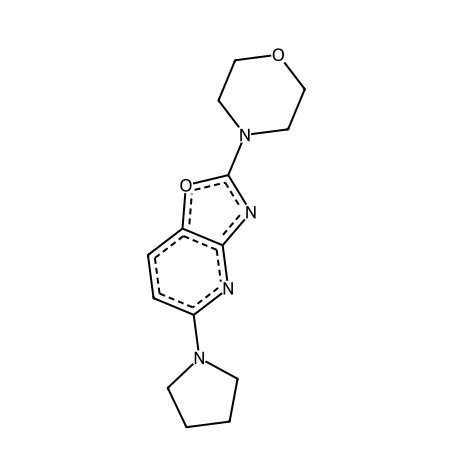 c1cc2oc(N3CCOCC3)nc2nc1N1CCCC1